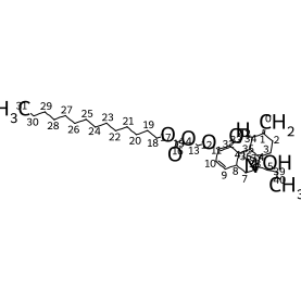 C=C1CC[C@@]2(O)C3CC4C=CC(OCOC(=O)OCCCCCCCCCCCCCC)=C5O[C@@H]1[C@]2(CCN3CC)C54